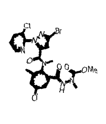 COC(=O)N(C)NC(=O)c1cc(Cl)cc(C)c1N(C)C(=O)c1cc(Br)nn1-c1ncccc1Cl